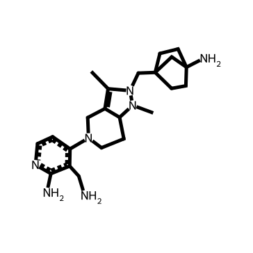 CC1=C2CN(c3ccnc(N)c3CN)CCC2N(C)N1CC12CCC(N)(CC1)C2